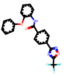 O=C(Nc1ccccc1Oc1ccccc1)c1ccc(-c2noc(C(F)(F)F)n2)cc1